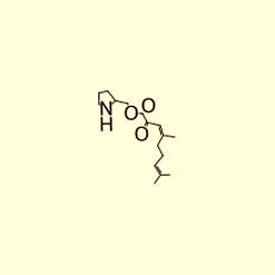 CC(C)=CCCC(C)=CC(=O)C(=O)OCC1CCCN1